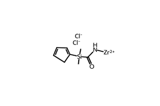 C[Si](C)(C(=O)[NH][Zr+2])C1=CC=CC1.[Cl-].[Cl-]